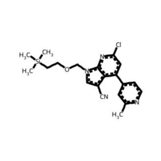 Cc1cc(-c2cc(Cl)nc3c2c(C#N)cn3COCC[Si](C)(C)C)ccn1